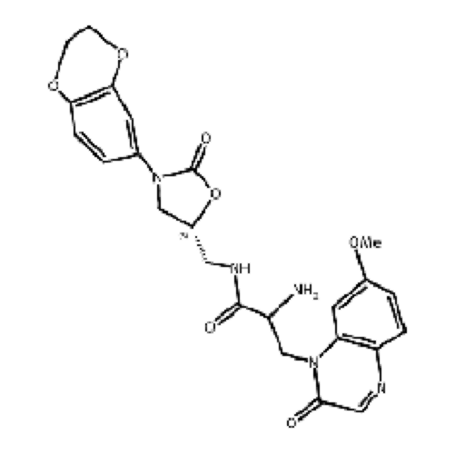 COc1ccc2ncc(=O)n(CC(N)C(=O)NC[C@@H]3CN(c4ccc5c(c4)OCCO5)C(=O)O3)c2c1